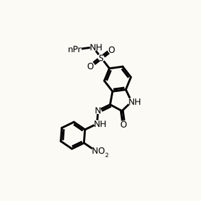 CCCNS(=O)(=O)c1ccc2c(c1)C(=NNc1ccccc1[N+](=O)[O-])C(=O)N2